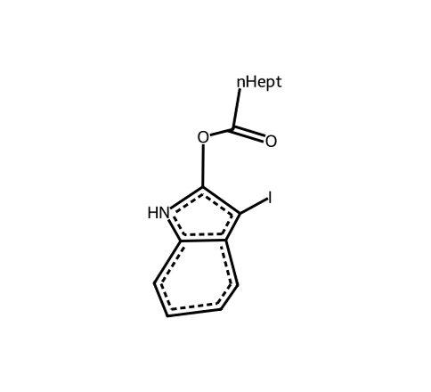 CCCCCCCC(=O)Oc1[nH]c2ccccc2c1I